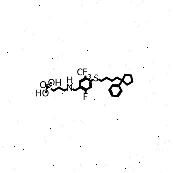 O=P(O)(O)CCCNCc1cc(C(F)(F)F)c(SCCCCC2(c3ccccc3)CCCC2)cc1F